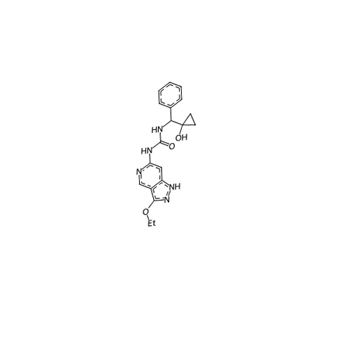 CCOc1n[nH]c2cc(NC(=O)NC(c3ccccc3)C3(O)CC3)ncc12